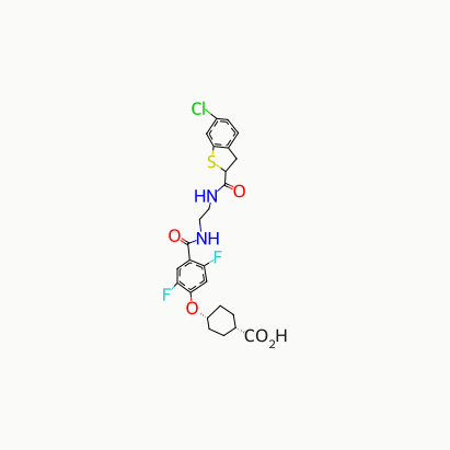 O=C(NCCNC(=O)C1Cc2ccc(Cl)cc2S1)c1cc(F)c(O[C@H]2CC[C@@H](C(=O)O)CC2)cc1F